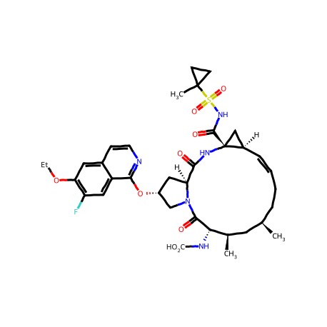 CCOc1cc2ccnc(O[C@@H]3C[C@H]4C(=O)N[C@]5(C(=O)NS(=O)(=O)C6(C)CC6)C[C@H]5C=CCC[C@@H](C)C[C@@H](C)[C@H](NC(=O)O)C(=O)N4C3)c2cc1F